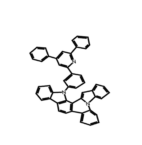 c1ccc(-c2cc(-c3ccccc3)nc(-c3cccc(-n4c5ccccc5c5ccc6c7ccccc7n7c8ccccc8cc7c6c54)c3)c2)cc1